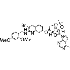 COc1ccc(CNc2nc3cc(O[C@@H]4CC[C@]56OC(C)(C)O[C@H]5[C@H](n5ccc7c(C)ncnc75)O[C@H]46)ccc3cc2Br)c(OC)c1